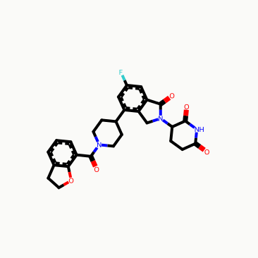 O=C1CCC(N2Cc3c(cc(F)cc3C3CCN(C(=O)c4cccc5c4OCC5)CC3)C2=O)C(=O)N1